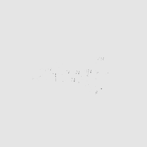 CC(CC(=O)NC(c1ccn2cc([C@@H](NC(=O)c3conc3C3CC3)C3CCC(F)(F)CC3)nc2n1)C1CC1)C(F)(F)F